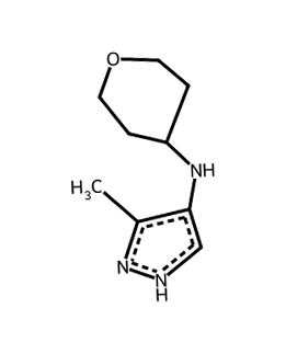 Cc1n[nH]cc1NC1CCOCC1